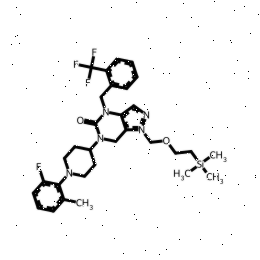 Cc1cccc(F)c1N1CCC(N2Cc3c(cnn3COCC[Si](C)(C)C)N(Cc3ccccc3C(F)(F)F)C2=O)CC1